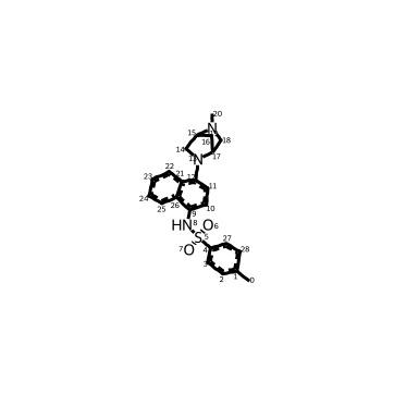 Cc1ccc(S(=O)(=O)Nc2ccc(N3CC4CC3CN4C)c3ccccc23)cc1